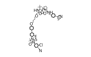 CC(C)(C)C(NC(=O)COCCCCOc1ccc(-c2ccc(N3C(=S)N(c4ccc(C#N)c(Cl)c4)C(=O)C3(C)C)c(F)c2)cc1)C(=O)N1CCC[C@H]1C(=O)NCc1ccc(-c2cncs2)cc1